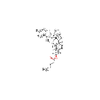 CCCCC(=O)O[C@H]1CC[C@@]2(C)C(=CC[C@H]3[C@@H]4CC[C@H]([C@H](C)CC[C@@H](CC)C(C)C)[C@@]4(C)CC[C@@H]32)C1